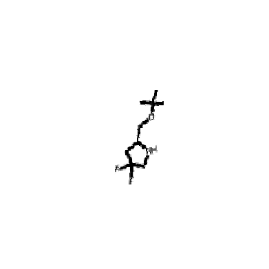 CC(C)(C)OC[C@@H]1CC(F)(F)CN1